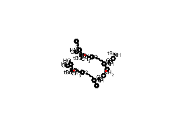 CC(C)(C)N[C@H]1CC[C@H](OC(=O)Nc2cc(/C=C/CCOc3ccc(CCNC[C@H](O[Si](C)(C)C(C)(C)C)c4ccc(OCc5ccccc5)c5[nH]c(=O)ccc45)cc3)ccc2-c2ccccc2)CC1.CC(C)(C)[Si](C)(C)O[C@@H](CNCCc1ccc(OCCCCc2ccc(-c3ccccc3)c(NC(=O)O[C@H]3CC[C@H](N)CC3)c2)cc1)c1ccc(O)c2[nH]c(=O)ccc12